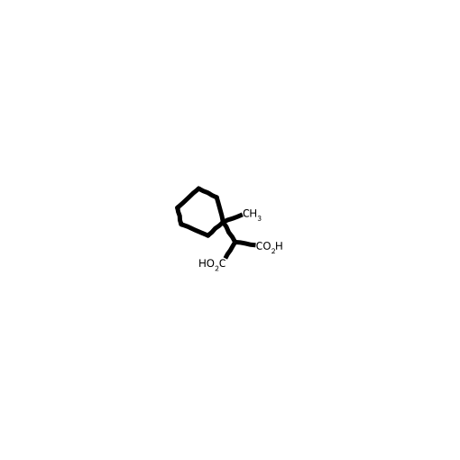 CC1(C(C(=O)O)C(=O)O)CCCCC1